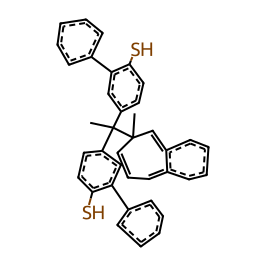 CC1(C(C)(c2ccc(S)c(-c3ccccc3)c2)c2ccc(S)c(-c3ccccc3)c2)C=CC=c2ccccc2=C1